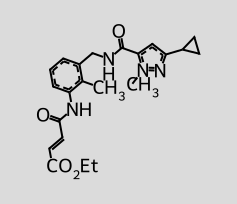 CCOC(=O)/C=C/C(=O)Nc1cccc(CNC(=O)c2cc(C3CC3)nn2C)c1C